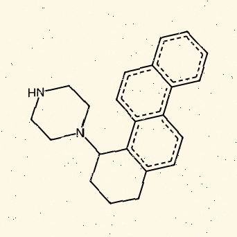 c1ccc2c(c1)ccc1c3c(ccc12)CCCC3N1CCNCC1